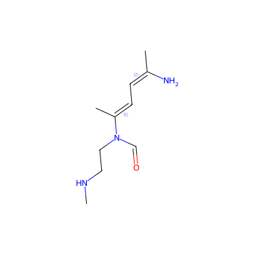 CNCCN(C=O)/C(C)=C/C=C(/C)N